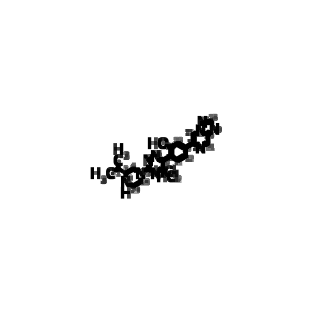 CC(C)[C@H]1CN(c2ncc(-c3ccc(-c4cn5ncnc5cn4)cc3O)nn2)CCN1.Cl.Cl